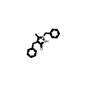 Cc1c(Cc2ccccc2)c(=O)[nH]n1Cc1ccccc1